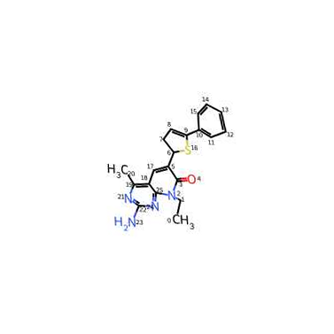 CCn1c(=O)c(C2CC=C(c3ccccc3)S2)cc2c(C)nc(N)nc21